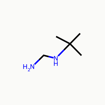 CC(C)(C)NCN